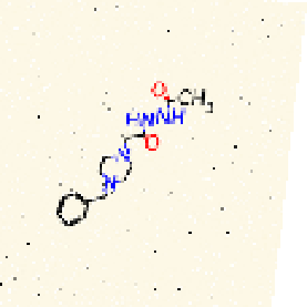 CC(=O)NNC(=O)CN1CCN(Cc2ccccc2)CC1